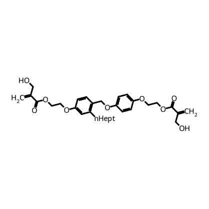 C=C(CO)C(=O)OCCOc1ccc(OCc2ccc(OCCOC(=O)C(=C)CO)cc2CCCCCCC)cc1